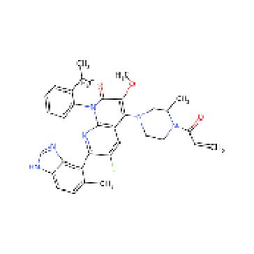 C=CC(=O)N1CCN(c2c(OC)c(=O)n(-c3ccccc3C(C)C)c3nc(-c4c(C)ccc5[nH]cnc45)c(F)cc23)CC1C